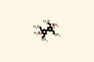 C=CCc1cc(-c2cc(CC=C)c(OC)c(CC=C)c2)cc(CC=C)c1OC